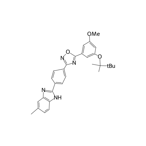 COc1cc(OC(C)(C)C(C)(C)C)cc(-c2nc(-c3ccc(-c4nc5cc(C)ccc5[nH]4)cc3)no2)c1